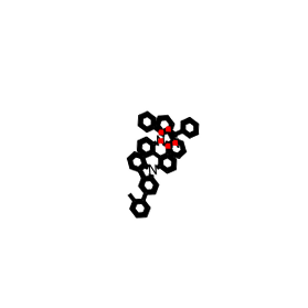 Cc1ccccc1-c1ccc2c(c1)c1ccccc1n2-c1cccc(-c2nc(-c3ccccc3)cc(-c3ccccc3)n2)c1-c1ccccc1-n1c2ccccc2c2ccccc21